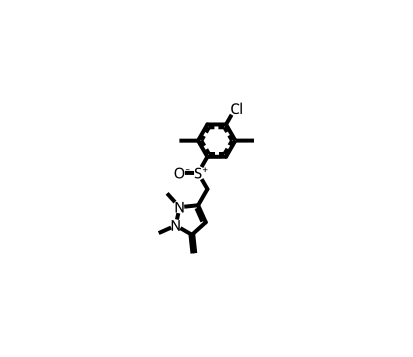 C=C1C=C(C[S+]([O-])c2cc(C)c(Cl)cc2C)N(C)N1C